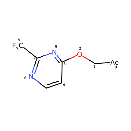 CC(=O)COc1ccnc(C(F)(F)F)n1